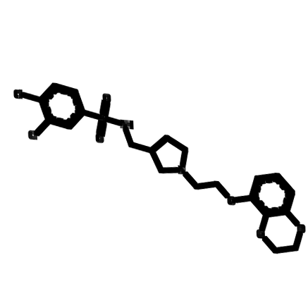 O=S(=O)(NCC1CCN(CCOc2cccc3c2OCCO3)C1)c1ccc(Cl)c(Cl)c1